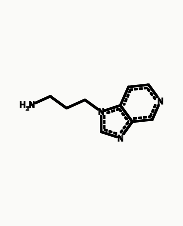 NCCCn1cnc2cnccc21